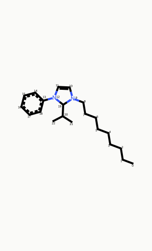 CCCCCCCCCN1C=CN(c2ccccc2)C1C(C)C